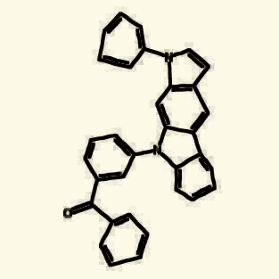 O=C(c1ccccc1)c1cccc(-n2c3ccccc3c3cc4ccn(-c5ccccc5)c4cc32)c1